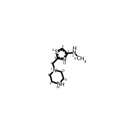 CNc1csc(CN2[CH]CNCC2)n1